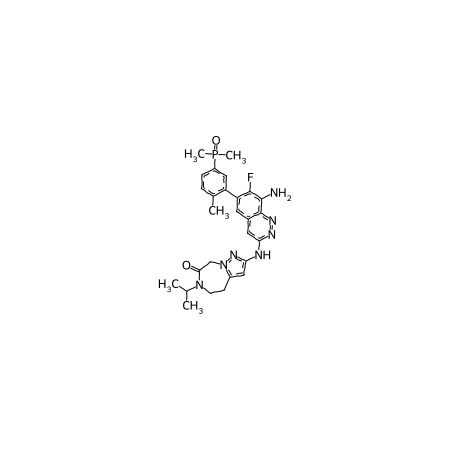 Cc1ccc(P(C)(C)=O)cc1-c1cc2cc(Nc3cc4n(n3)CC(=O)N(C(C)C)CC4)nnc2c(N)c1F